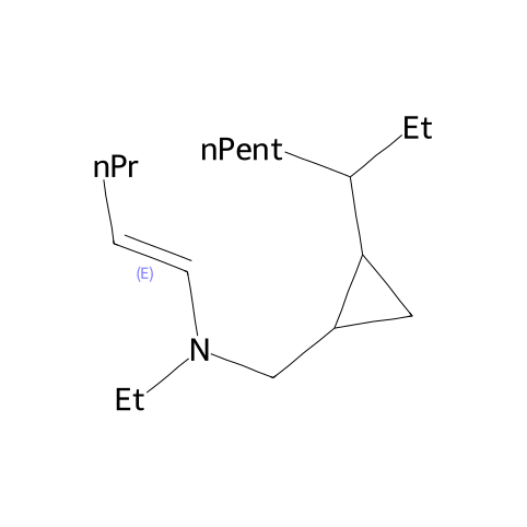 CCC/C=C/N(CC)CC1CC1C(CC)CCCCC